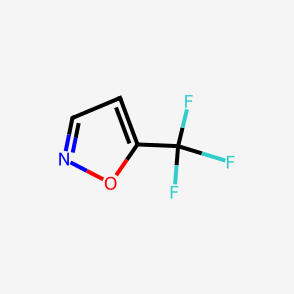 FC(F)(F)c1ccno1